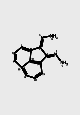 NN=C1C(=NN)c2cccc3cccc1c23